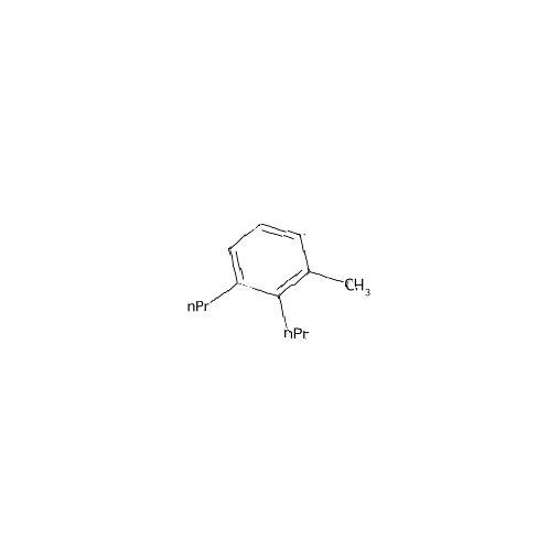 CCCc1cc[c]c(C)c1CCC